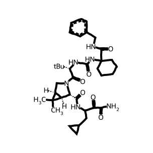 CC(C)(C)[C@H](NC(=O)NC1(C(=O)NCc2ccccc2)CCCCC1)C(=O)N1C[C@H]2[C@@H]([C@H]1C(=O)NC(CC1CC1)C(=O)C(N)=O)C2(C)C